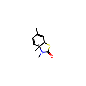 CC1=CC2SC(=O)N(C)[C@]2(C)C=C1